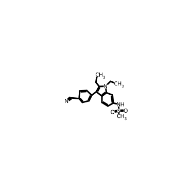 CCc1c(-c2ccc(C#N)cc2)c2ccc(NS(C)(=O)=O)cc2n1CC